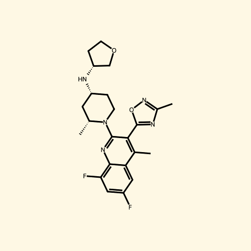 Cc1noc(-c2c(N3CC[C@@H](N[C@@H]4CCOC4)C[C@H]3C)nc3c(F)cc(F)cc3c2C)n1